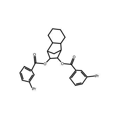 CC(C)c1cccc(C(=O)OC2C3CC(C4CCCCC43)C2OC(=O)c2cccc(C(C)C)c2)c1